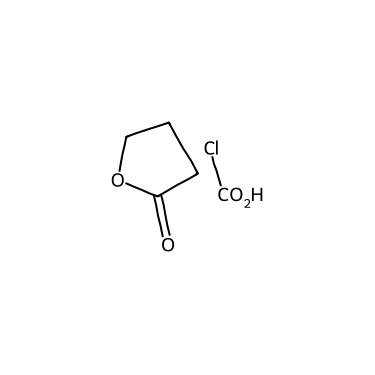 O=C(O)Cl.O=C1CCCO1